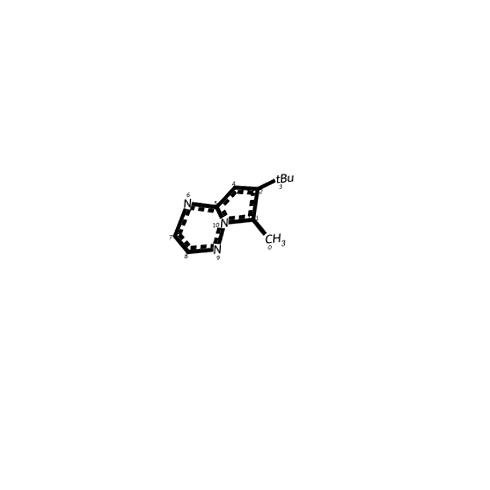 Cc1c(C(C)(C)C)cc2nccnn12